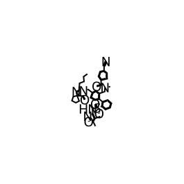 CCCCC1=NC2(CCCC2)C(=O)N1Cc1ccc(-c2ccccc2S(=O)(=O)Nc2noc(C)c2C)c(CN(C)C(=O)c2ccc(C#N)cc2)c1